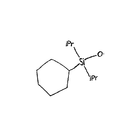 CC(C)[Si]([O])(C(C)C)C1CCCCC1